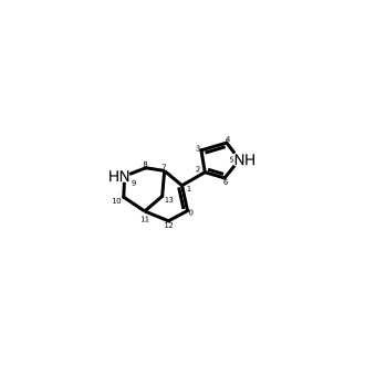 C1=C(c2cc[nH]c2)C2CNCC(C1)C2